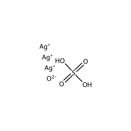 O=S(=O)(O)O.[Ag+].[Ag+].[Ag+].[O-2]